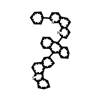 c1ccc(-c2ccc3ccc4ccc(-c5c6ccccc6c(-c6ccc7c(ccc8sc9ccccc9c87)c6)c6ccccc56)nc4c3n2)cc1